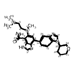 CN(C)CCN(C)c1cc(-c2ccc3c(c2)ncn3C2CCCOC2)c2nc[nH]c2c1C(N)=O